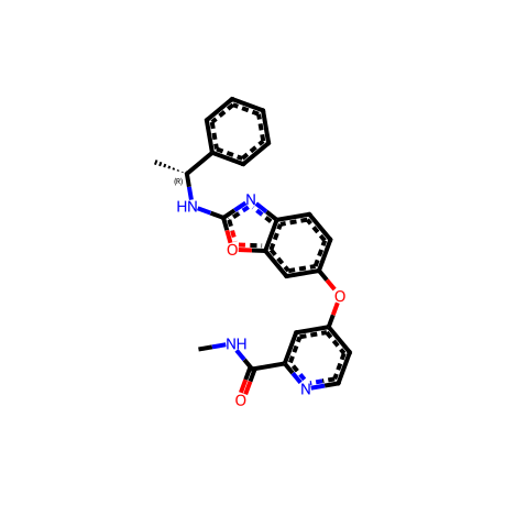 CNC(=O)c1cc(Oc2ccc3nc(N[C@H](C)c4ccccc4)oc3c2)ccn1